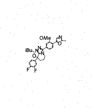 CCC(C)COC1(c2ccc(F)c(F)c2)CCCn2c(-c3ccc(-c4cnc(C)o4)c(OC)c3)nnc21